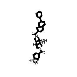 O=C(c1ccc2[nH]nnc2c1)N1C[C@@H]2C3CN(C(=O)c4ccc5ccc(-c6ccccc6)cc5c4)CC3(O)[C@@H]2C1